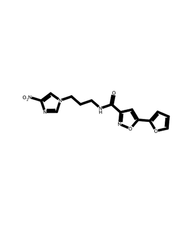 O=C(NCCCn1cnc([N+](=O)[O-])c1)c1cc(-c2ccco2)on1